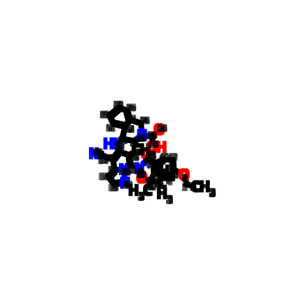 CCOc1ccc(C(=O)N(OC(C)(C)C)c2c(C)c(NC3CN(C(=O)O)Cc4ccccc43)c(C#N)c3ccnn23)cc1